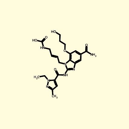 CCn1nc(C)cc1C(=O)Nc1nc2cc(C(N)=O)cc(OCCCO)c2n1CC=CCNC(=O)O